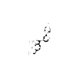 CN1CCN(c2cc(-c3c[nH]c4nc(CO)ccc34)ccn2)CC1